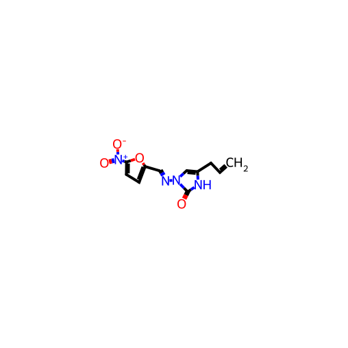 C=CCc1cn(N=Cc2ccc([N+](=O)[O-])o2)c(=O)[nH]1